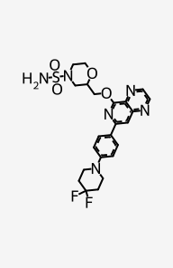 NS(=O)(=O)N1CCOC(COc2nc(-c3ccc(N4CCC(F)(F)CC4)cc3)cc3nccnc23)C1